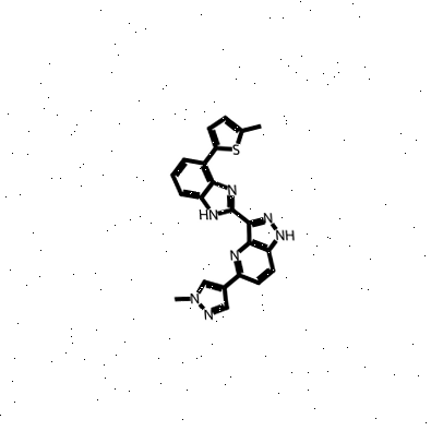 Cc1ccc(-c2cccc3[nH]c(-c4n[nH]c5ccc(-c6cnn(C)c6)nc45)nc23)s1